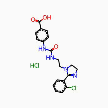 Cl.O=C(NCCN1CCN=C1c1ccccc1Cl)Nc1ccc(C(=O)O)cc1